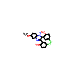 COc1ccc2c(c1)N=C(c1cc(Cl)ccc1O)C(c1cc(Cl)ccc1O)N2